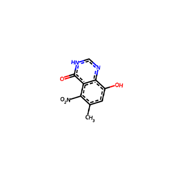 Cc1cc(O)c2nc[nH]c(=O)c2c1[N+](=O)[O-]